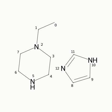 CCN1CCNCC1.c1c[nH]cn1